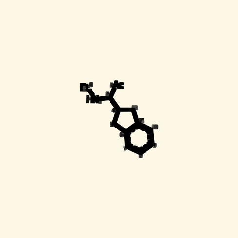 CCNC(C(C)=O)C1Cc2ccccc2C1